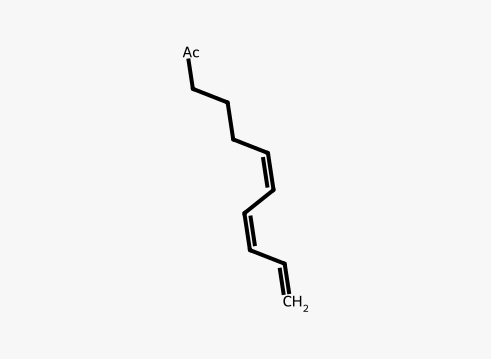 C=C/C=C\C=C/CCCC(C)=O